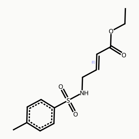 CCOC(=O)/C=C/CNS(=O)(=O)c1ccc(C)cc1